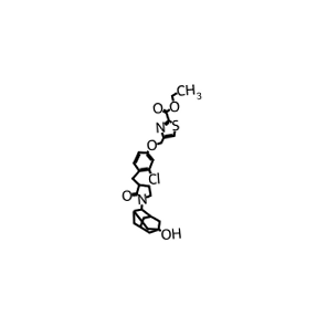 CCOC(=O)c1nc(COc2ccc(CC3CCN(C4C5CC6CC4CC(O)(C6)C5)C3=O)c(Cl)c2)cs1